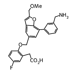 COCc1cc2cc(COc3ccc(F)cc3CC(=O)O)cc(-c3cccc(CN)c3)c2o1